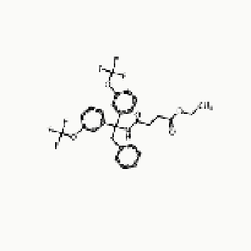 CCOC(=O)CCC(=O)NC(Cc1ccccc1)(c1cccc(OC(F)(F)F)c1)c1cccc(OC(F)(F)F)c1